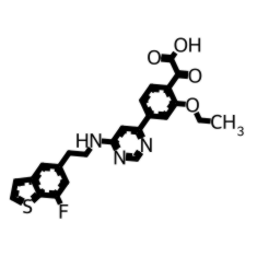 CCOc1cc(-c2cc(NCCc3cc(F)c4sccc4c3)ncn2)ccc1C(=O)C(=O)O